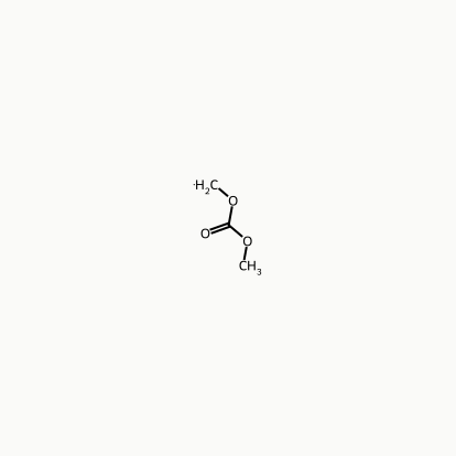 [CH2]OC(=O)OC